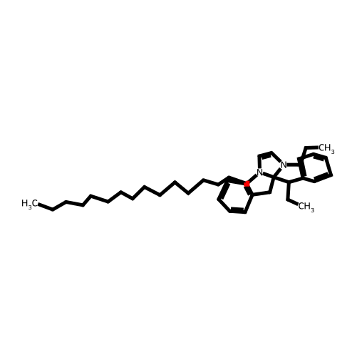 CCCCCCCCCCCCCCCCN1C=CN(CCC)C1(Cc1ccccc1)C(CC)c1ccccc1